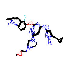 COCCN1CCN(c2cc(Nc3cc(C4CC4)[nH]n3)nc(Oc3ccc4[nH]c(C)cc4c3F)n2)CC1